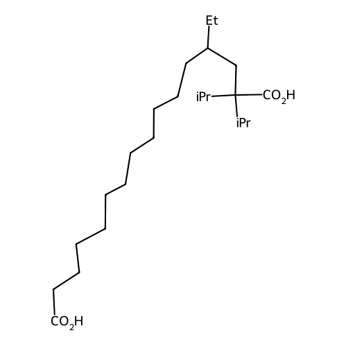 CCC(CCCCCCCCCCCC(=O)O)CC(C(=O)O)(C(C)C)C(C)C